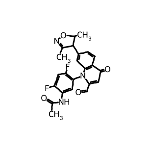 CC(=O)Nc1cc(-n2c(C=O)cc(=O)c3ccc(C4C(C)=NOC4C)cc32)c(F)cc1F